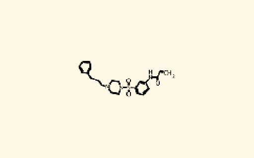 C=CC(=O)Nc1cccc(S(=O)(=O)N2CCN(CCCc3ccccc3)CC2)c1